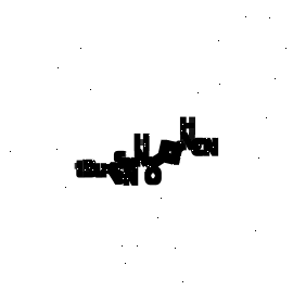 CC(C)(C)c1cnc(NC(=O)C2CC(NC#N)C2)s1